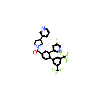 O=C(c1ccc(-c2cc(C(F)(F)F)cc(C(F)(F)F)c2)c(-c2cncc(F)c2)c1)N1CCC(c2cccnc2)C1